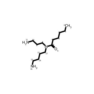 CCCCCC(=O)N(CCCN)CCCCN